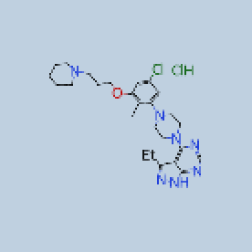 CCc1n[nH]c2ncnc(N3CCN(c4cc(Cl)cc(OCCCN5CCCCC5)c4C)CC3)c12.Cl